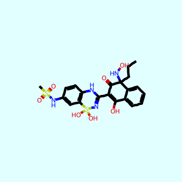 CCCC1(NO)C(=O)C(C2=NS(O)(O)c3cc(NS(C)(=O)=O)ccc3N2)=C(O)c2ccccc21